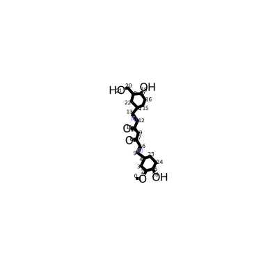 COC1CC(/C=C/C(=O)CC(=O)/C=C/C2CCC(O)C(CO)C2)CCC1O